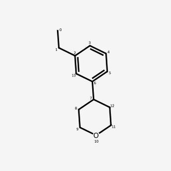 CCc1cccc(C2CCOCC2)c1